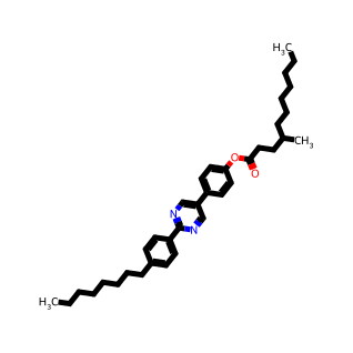 CCCCCCCCc1ccc(-c2ncc(-c3ccc(OC(=O)CCC(C)CCCCCCC)cc3)cn2)cc1